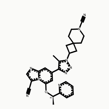 Cc1c(-c2cc(O[C@H](C)c3ccccn3)n3c(C#N)cnc3c2)nnn1C1CC2(CCN(C#N)CC2)C1